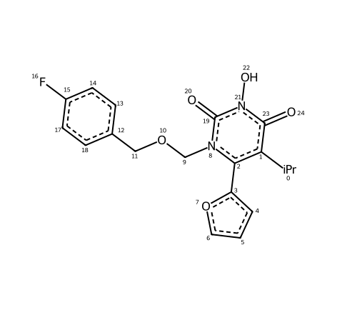 CC(C)c1c(-c2ccco2)n(COCc2ccc(F)cc2)c(=O)n(O)c1=O